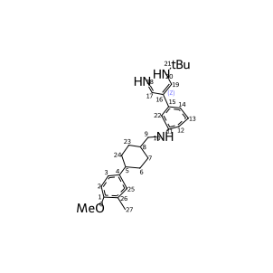 COc1ccc(C2CCC(CNc3cccc(/C(C=N)=C/NC(C)(C)C)c3)CC2)cc1C